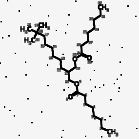 CCCCCCCC(=O)OCC(CCCCCCC(C)(C)C)COC(=O)CCCCCCC